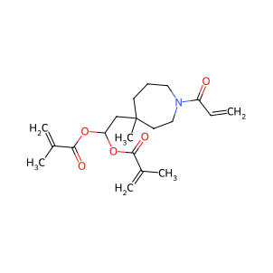 C=CC(=O)N1CCCC(C)(CC(OC(=O)C(=C)C)OC(=O)C(=C)C)CC1